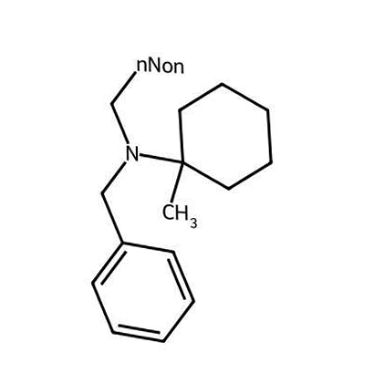 CCCCCCCCCCN(Cc1ccccc1)C1(C)CCCCC1